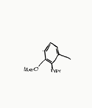 CCCc1c(OC)[c]ccc1C